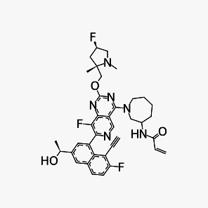 C#Cc1c(F)ccc2cc([C@H](C)O)cc(-c3ncc4c(N5CCCCC(NC(=O)C=C)C5)nc(OC[C@]5(C)C[C@@H](F)CN5C)nc4c3F)c12